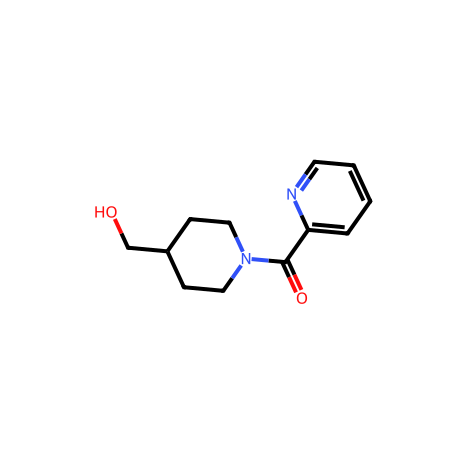 O=C(c1ccccn1)N1CCC(CO)CC1